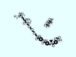 NC(N)=NCCC[C@H](N)C(=O)NCCOCCOCCOCCNC(=O)c1ccc(NC(=O)c2ccc(CN(C(=O)c3ccc4c(c3)OCC(=O)N4)C3CC3)cc2)cc1.O=C(O)C(F)(F)F.O=C(O)C(F)(F)F